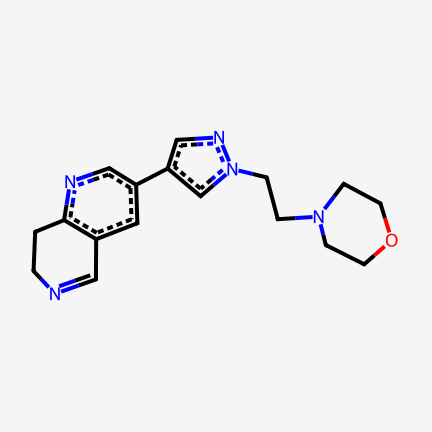 C1=NCCc2ncc(-c3cnn(CCN4CCOCC4)c3)cc21